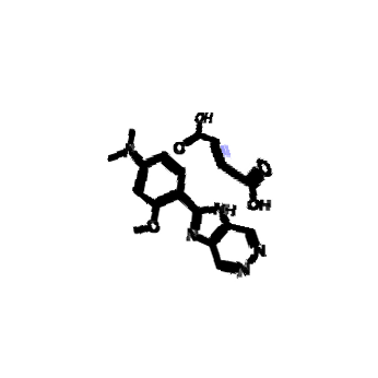 COc1cc(N(C)C)ccc1-c1nc2cnncc2[nH]1.O=C(O)/C=C/C(=O)O